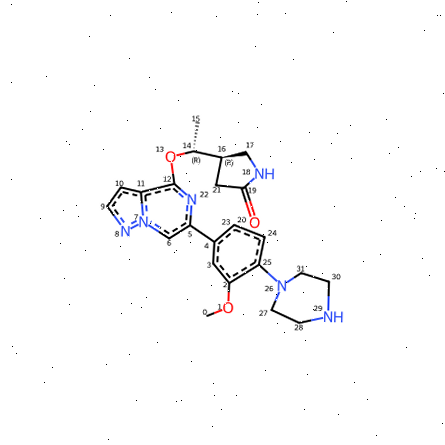 COc1cc(-c2cn3nccc3c(O[C@H](C)[C@H]3CNC(=O)C3)n2)ccc1N1CCNCC1